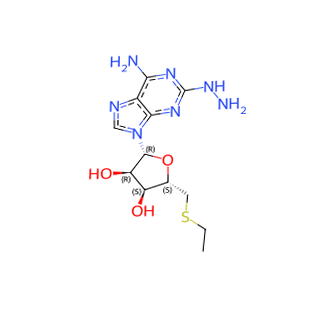 CCSC[C@H]1O[C@@H](n2cnc3c(N)nc(NN)nc32)[C@H](O)[C@@H]1O